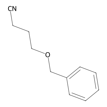 N#CCCCOCc1ccccc1